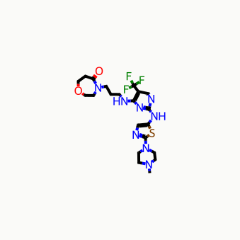 CN1CCN(c2ncc(Nc3ncc(C(F)(F)F)c(NCCCN4CCOCCC4=O)n3)s2)CC1